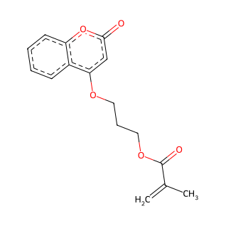 C=C(C)C(=O)OCCCOc1cc(=O)oc2ccccc12